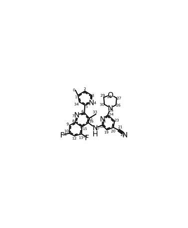 Cc1ccnc(-c2nc3cc(F)cc(F)c3c(Nc3cc(C#N)cc(N4CCOCC4)n3)c2C)c1